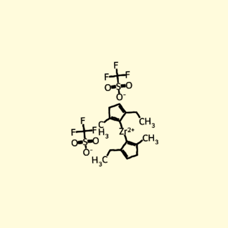 CCC1=CCC(C)=[C]1[Zr+2][C]1=C(C)CC=C1CC.O=S(=O)([O-])C(F)(F)F.O=S(=O)([O-])C(F)(F)F